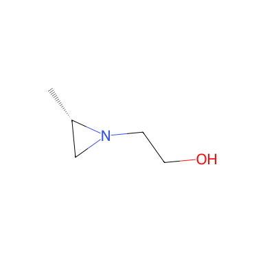 C[C@H]1CN1CCO